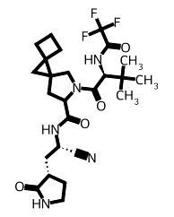 CC(C)(C)[C@H](NC(=O)C(F)(F)F)C(=O)N1CC2(CC1C(=O)N[C@H](C#N)C[C@@H]1CCNC1=O)CC21CCC1